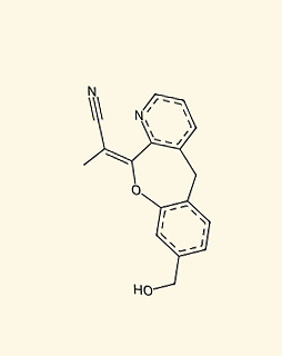 CC(C#N)=C1Oc2cc(CO)ccc2Cc2cccnc21